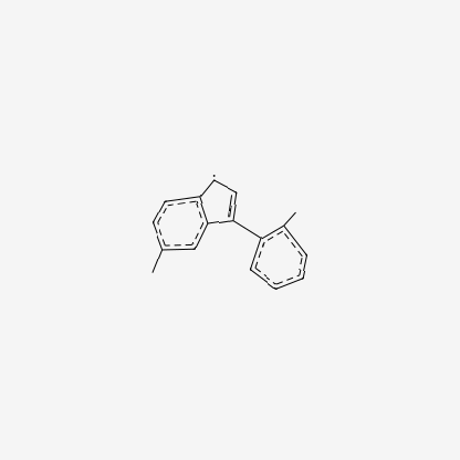 Cc1ccc2c(c1)C(c1ccccc1C)=C[CH]2